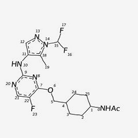 CC(=O)NC1CCC(COc2nc(Nc3cnn(C(F)F)c3C)ncc2F)CC1